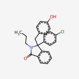 CCCN1C(=O)c2ccccc2C1(Cc1ccc(O)cc1)c1ccc(Cl)cc1